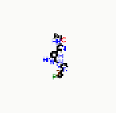 CC(C)(C)C(=O)Nc1cncc(-c2ccc3[nH]nc(-c4nc5c(-c6ccc(F)s6)nccc5[nH]4)c3c2)c1